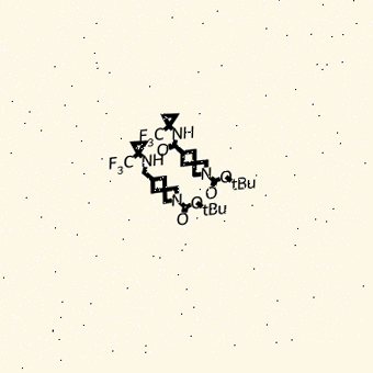 CC(C)(C)OC(=O)N1CC2(CC(C(=O)NC3(C(F)(F)F)CC3)C2)C1.CC(C)(C)OC(=O)N1CC2(CC(CNC3(C(F)(F)F)CC3)C2)C1